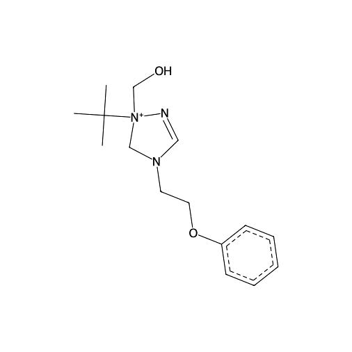 CC(C)(C)[N+]1(CO)CN(CCOc2ccccc2)C=N1